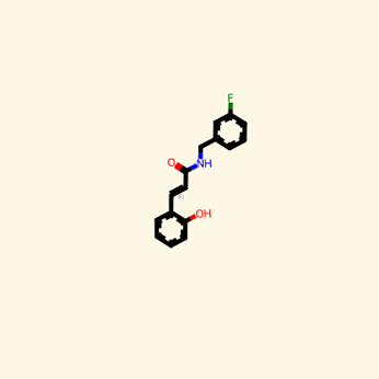 O=C(/C=C/c1ccccc1O)NCc1cccc(F)c1